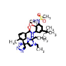 CCc1nc(C2(c3cc(C(=O)Nc4cc(C(C)(C)C)cc(NS(C)(=O)=O)c4OC)ccc3C)C=NN=N2)cn1CC